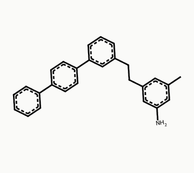 Cc1cc(N)cc(CCc2cccc(-c3ccc(-c4ccccc4)cc3)c2)c1